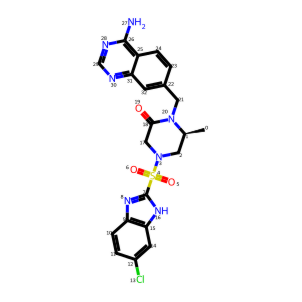 C[C@H]1CN(S(=O)(=O)c2nc3ccc(Cl)cc3[nH]2)CC(=O)N1Cc1ccc2c(N)ncnc2c1